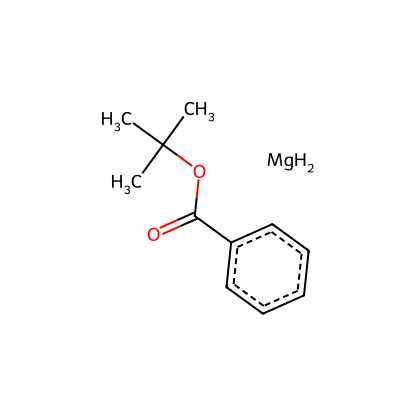 CC(C)(C)OC(=O)c1ccccc1.[MgH2]